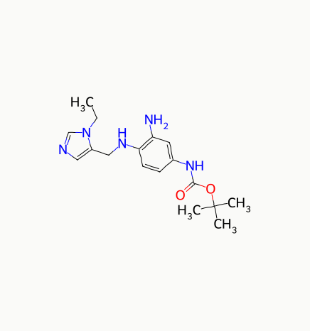 CCn1cncc1CNc1ccc(NC(=O)OC(C)(C)C)cc1N